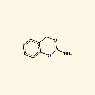 NP1OCc2ccccc2O1